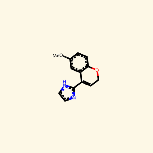 COc1ccc2c(c1)C(c1ncc[nH]1)=CCO2